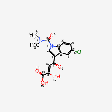 CN(C)C(=O)n1cc(C(=O)/C=C(\O)C(=O)O)c2cc(Cl)ccc21